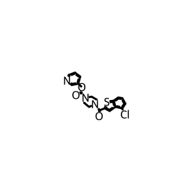 O=C(Oc1cccnc1)N1CCN(C(=O)c2cc3c(Cl)cccc3s2)CC1